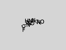 CC(=O)N1CCC(N(C)C(=O)Nc2ccc(-c3cccc(F)c3)nn2)CC1